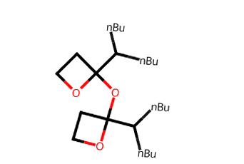 CCCCC(CCCC)C1(OC2(C(CCCC)CCCC)CCO2)CCO1